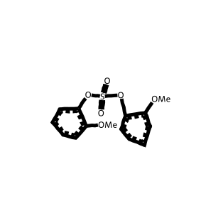 COc1ccccc1OS(=O)(=O)Oc1ccccc1OC